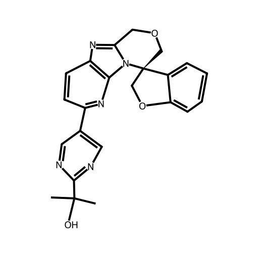 CC(C)(O)c1ncc(-c2ccc3nc4n(c3n2)[C@@]2(COC4)COc3ccccc32)cn1